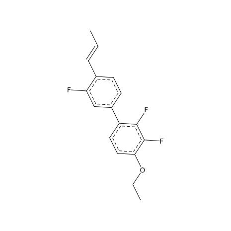 C/C=C/c1ccc(-c2ccc(OCC)c(F)c2F)cc1F